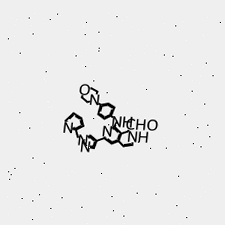 O=CC1NC=Cc2cc(-c3cnn(Cc4ccccn4)c3)nc(Nc3ccc(N4CCOCC4)cc3)c21